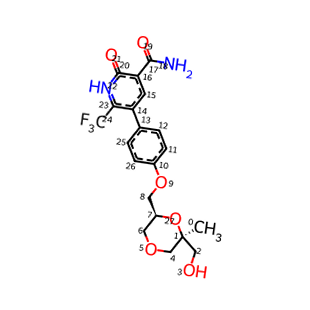 C[C@]1(CO)COC[C@@H](COc2ccc(-c3cc(C(N)=O)c(=O)[nH]c3C(F)(F)F)cc2)O1